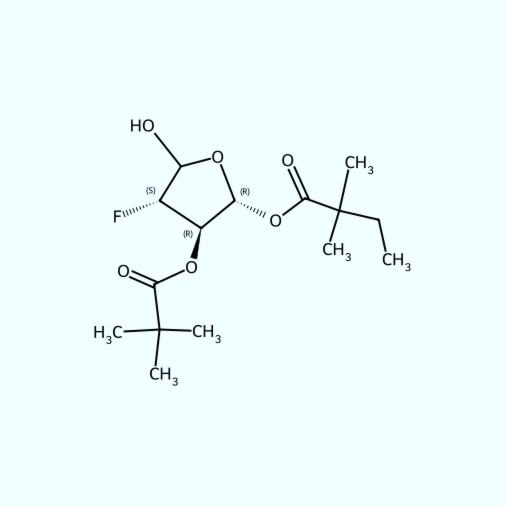 CCC(C)(C)C(=O)O[C@H]1OC(O)[C@@H](F)[C@@H]1OC(=O)C(C)(C)C